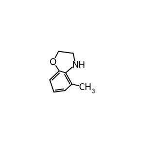 Cc1cccc2c1NCCO2